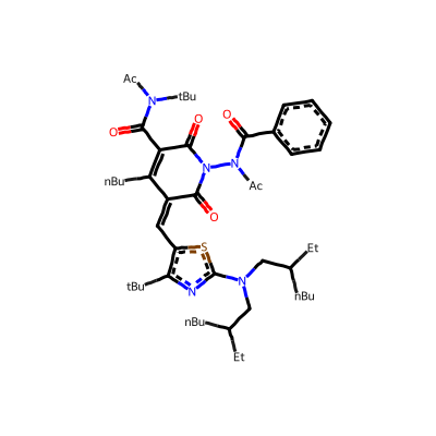 CCCCC1=C(C(=O)N(C(C)=O)C(C)(C)C)C(=O)N(N(C(C)=O)C(=O)c2ccccc2)C(=O)/C1=C\c1sc(N(CC(CC)CCCC)CC(CC)CCCC)nc1C(C)(C)C